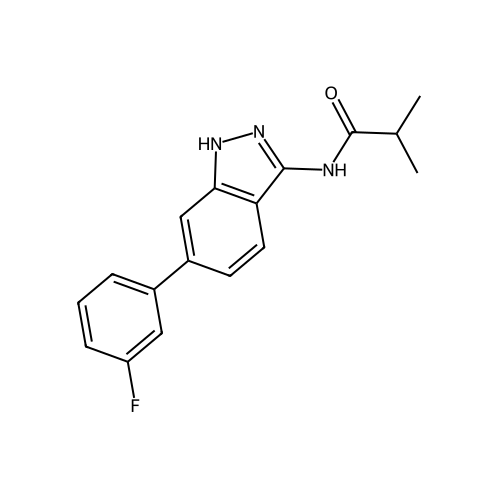 CC(C)C(=O)Nc1n[nH]c2cc(-c3cccc(F)c3)ccc12